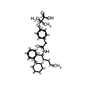 CCCCC(NC(=O)Cc1ccc(OC(C)(C)C(=O)O)cc1)c1ccccc1N1CCCCC1